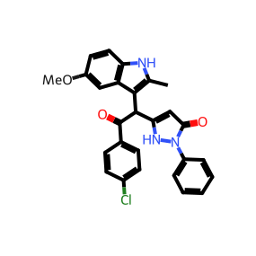 COc1ccc2[nH]c(C)c(C(C(=O)c3ccc(Cl)cc3)c3cc(=O)n(-c4ccccc4)[nH]3)c2c1